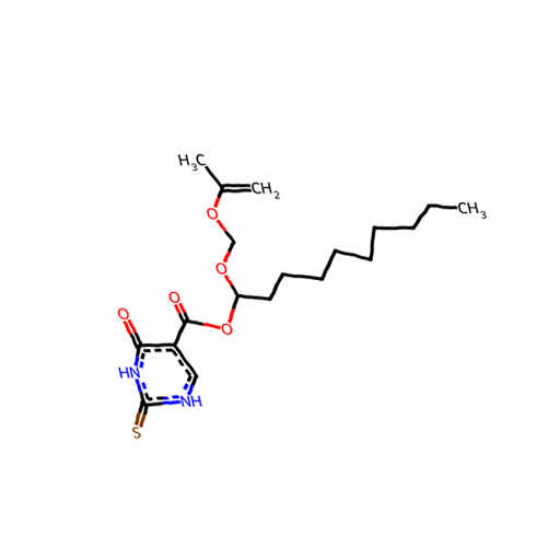 C=C(C)OCOC(CCCCCCCCC)OC(=O)c1c[nH]c(=S)[nH]c1=O